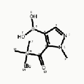 Cn1ncc(B(O)O)c1C(=O)[Si](C)(C)C(C)(C)C